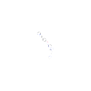 Cc1c(CCCN2CCCC2)nc2ccc(NC(=O)c3ccc(C=Cc4ccccn4)cc3)cn12